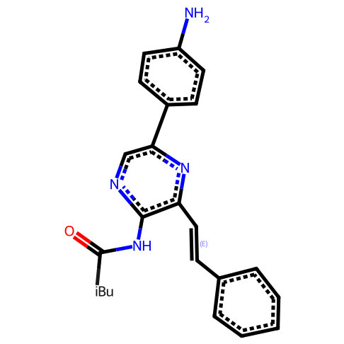 CCC(C)C(=O)Nc1ncc(-c2ccc(N)cc2)nc1/C=C/c1ccccc1